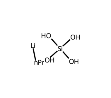 O[Si](O)(O)O.[Li][CH2]CC